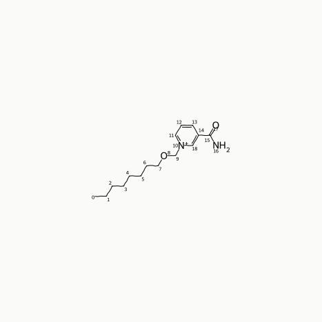 CCCCCCCCOC[n+]1cccc(C(N)=O)c1